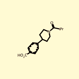 CC(C)C(=O)N1CCC(c2ccc(C(=O)O)cc2)CC1